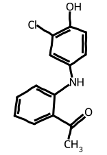 CC(=O)c1ccccc1Nc1ccc(O)c(Cl)c1